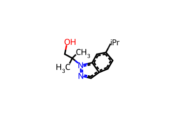 CC(C)c1ccc2cnn(C(C)(C)CO)c2c1